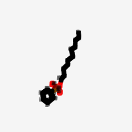 CCCCCCCCCCCOS(=O)(=O)c1ccccc1